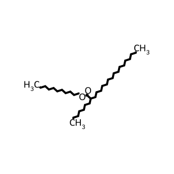 CCCCCCCCCCCCCCCCC(CCCCCCC)C(=O)OCCCCCCCCCCC